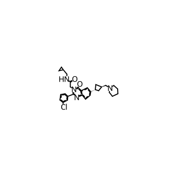 O=C(Cn1c(-c2cccc(Cl)c2)nc2ccc([C@H]3C[C@H](CN4CCCCC4)C3)cc2c1=O)NCC1CC1